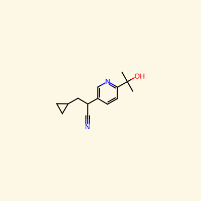 CC(C)(O)c1ccc(C(C#N)CC2CC2)cn1